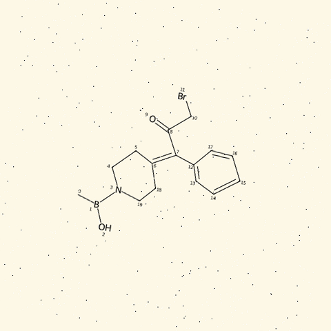 CB(O)N1CCC(=C(C(=O)CBr)c2ccccc2)CC1